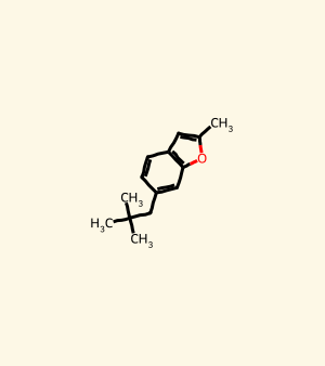 Cc1cc2ccc(CC(C)(C)C)cc2o1